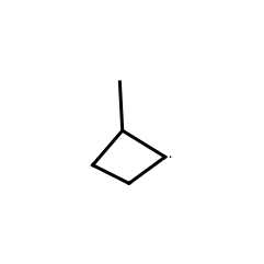 CC1[CH]CC1